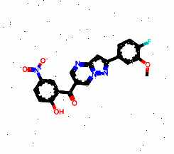 COc1cc(-c2cc3ncc(C(=O)c4cc([N+](=O)[O-])ccc4O)cn3n2)ccc1F